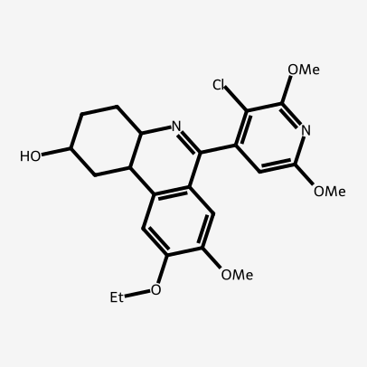 CCOc1cc2c(cc1OC)C(c1cc(OC)nc(OC)c1Cl)=NC1CCC(O)CC21